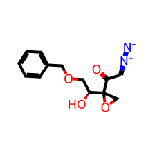 [N-]=[N+]=CC(=O)C1([C@@H](O)COCc2ccccc2)CO1